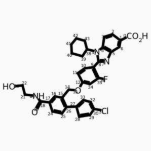 O=C(O)c1ccc2c(c1)nc(-c1ccc(OCc3cc(C(=O)NCCO)ccc3-c3ccc(Cl)cc3)cc1F)n2C1CCCCC1